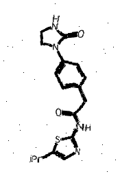 CC(C)c1cnc(NC(=O)Cc2ccc(N3CCNC3=O)cc2)s1